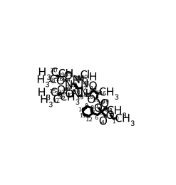 CCOC(=O)C(Cc1ccccc1)(OC[C@H]1O[C@@H](n2cnc3c(N(C(=O)OC(C)(C)C)C(=O)OC(C)(C)C)nc(Cl)nc32)[C@H](O)[C@H]1C)C(C)=O